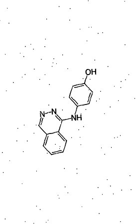 Oc1ccc(Nc2nncc3ccccc23)cc1